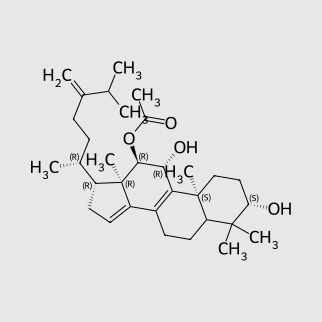 C=C(CC[C@@H](C)[C@H]1CC=C2C3=C([C@@H](O)[C@H](OC(C)=O)[C@@]21C)[C@@]1(C)CC[C@H](O)C(C)(C)C1CC3)C(C)C